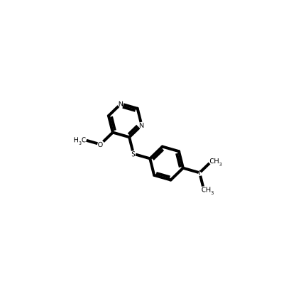 COc1cncnc1Sc1ccc(I(C)C)cc1